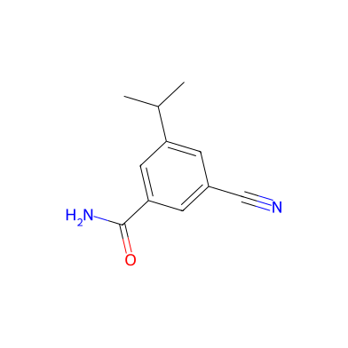 CC(C)c1cc(C#N)cc(C(N)=O)c1